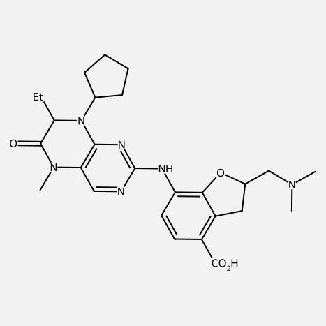 CCC1C(=O)N(C)c2cnc(Nc3ccc(C(=O)O)c4c3OC(CN(C)C)C4)nc2N1C1CCCC1